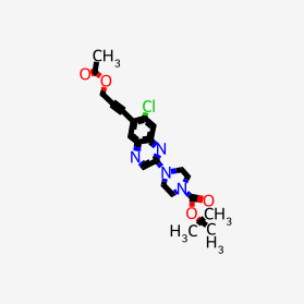 CC(=O)OCC#Cc1cc2ncc(N3CCN(C(=O)OC(C)(C)C)CC3)nc2cc1Cl